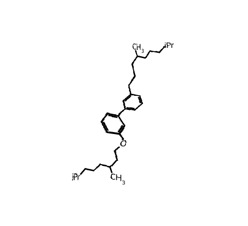 CC(C)CCCC(C)CCCc1cccc(-c2cccc(OCCC(C)CCCC(C)C)c2)c1